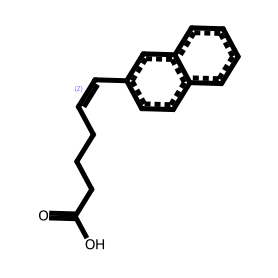 O=C(O)CCC/C=C\c1ccc2ccccc2c1